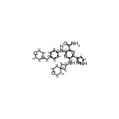 NC(=O)c1nc(-c2cc[nH]n2)c(NC2CC3(CCOCC3)C2)nc1Nc1ccc(CN2CCOCC2)cc1